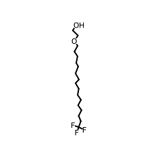 OCCOCCCCCCCCCCCCCCCC(F)(F)F